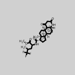 COC(=O)C(CC(C)C(F)(F)F)NC(=O)[C@H]1CC[C@H]2[C@@H]3CC[C@H]4NC(=O)CC(=O)[C@]4(C)[C@H]3CC[C@]12C